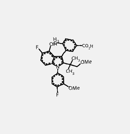 COCC(C)(C)c1c(-c2cc(C(=O)O)ccc2C)c2c(O)c(F)ccc2n1-c1ccc(F)c(OC)c1